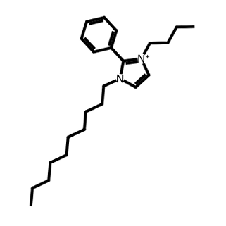 CCCCCCCCCCn1cc[n+](CCCC)c1-c1ccccc1